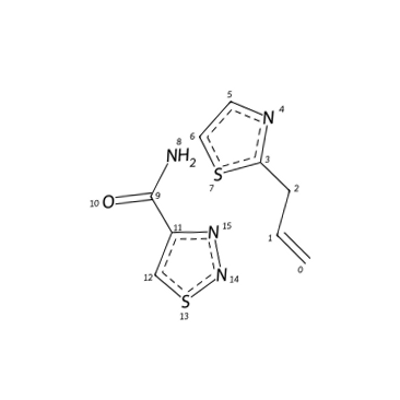 C=CCc1nccs1.NC(=O)c1csnn1